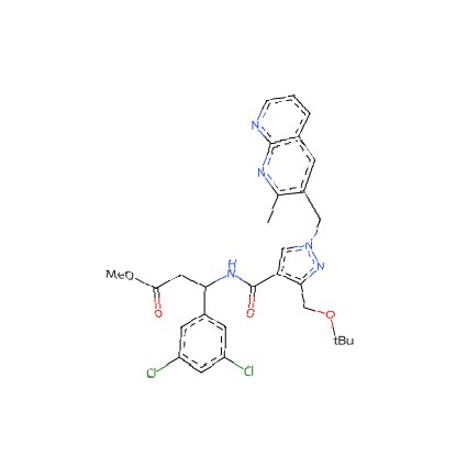 COC(=O)CC(NC(=O)c1cn(Cc2cc3cccnc3nc2C)nc1COC(C)(C)C)c1cc(Cl)cc(Cl)c1